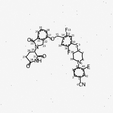 N#Cc1ccc(N2CCC(Sc3cc(F)c(COc4cccc5c4CN(C4CCC(=O)NC4=O)C5=O)cc3F)CC2)c(F)c1